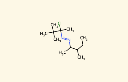 CCC(C)C(C)N=NC(C)(Cl)C(C)(C)C